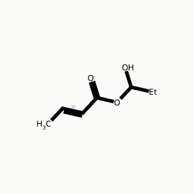 C/C=C/C(=O)OC(O)CC